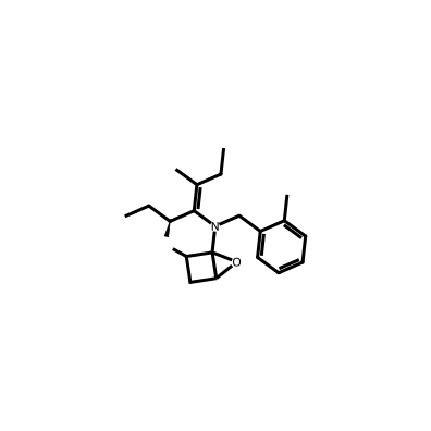 CC/C(C)=C(/[C@@H](C)CC)N(Cc1ccccc1C)C12OC1CC2C